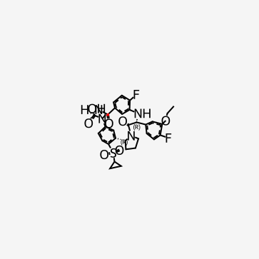 CCOc1cc([C@@H](Nc2cc(C(N)=O)ccc2F)C(=O)N2CCC[C@@H]2c2cc(N(C)C(=O)O)ccc2S(=O)(=O)C2CC2)ccc1F